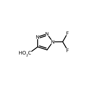 O=C(O)c1cn(C(F)F)nn1